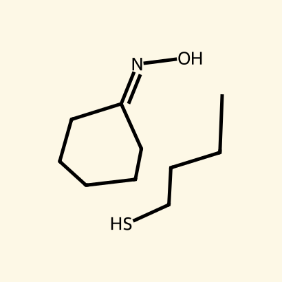 CCCCS.ON=C1CCCCC1